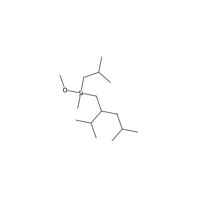 CO[Si](C)(CC(C)C)CC(CC(C)C)C(C)C